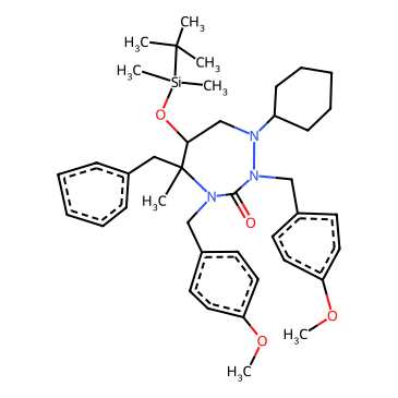 COc1ccc(CN2C(=O)N(Cc3ccc(OC)cc3)C(C)(Cc3ccccc3)C(O[Si](C)(C)C(C)(C)C)CN2C2CCCCC2)cc1